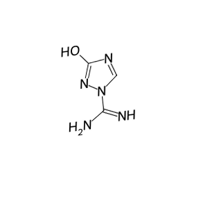 N=C(N)n1cnc(O)n1